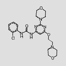 O=C(Nc1cc(OCCN2CCOCC2)nc(N2CCOCC2)n1)Nc1ccccc1Cl